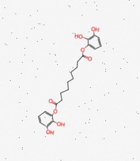 O=C(CCCCCCCCC(=O)Oc1cccc(O)c1O)Oc1cccc(O)c1O